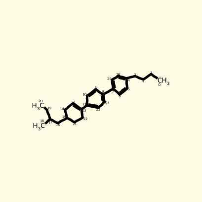 CCCCc1ccc(-c2ccc(C3=CCC(CC(C)CC)CC3)cc2)cc1